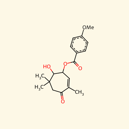 COc1ccc(C(=O)OC2C=C(C)C(=O)CC(C)(C)C2O)cc1